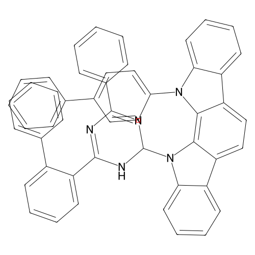 c1ccc(C2=NC(n3c4ccccc4c4ccc5c6ccccc6n(-c6ccc(-c7ccccc7)cc6)c5c43)NC(c3ccccc3-c3ccccc3)=N2)cc1